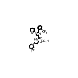 O=C(O)C[C@H](CCN1CCCC(F)(F)C1)NC(=O)c1cn(-c2ccccn2)c(-c2ccccc2C(F)(F)F)n1